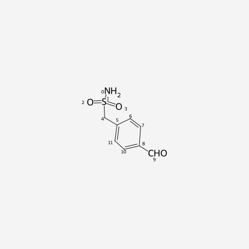 NS(=O)(=O)Cc1ccc(C=O)cc1